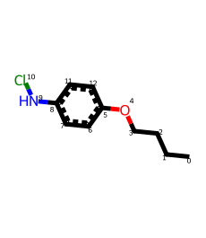 CCCCOc1ccc(NCl)cc1